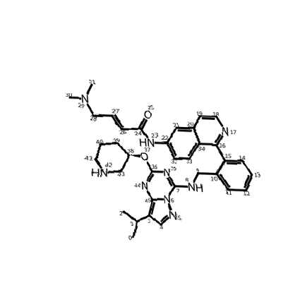 CC(C)c1cnn2c(NCc3ccccc3-c3nccc4cc(NC(=O)/C=C/CN(C)C)ccc34)nc(O[C@@H]3CCCNC3)nc12